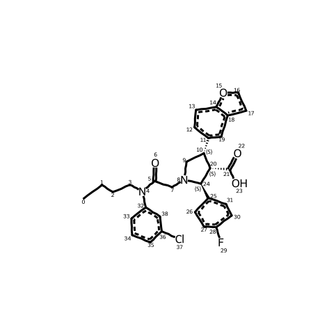 CCCCN(C(=O)CN1C[C@H](c2ccc3occc3c2)[C@H](C(=O)O)[C@H]1c1ccc(F)cc1)c1cccc(Cl)c1